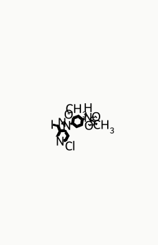 COc1cc(NS(C)(=O)=O)ccc1-n1nc(I)c2cnc(Cl)cc21